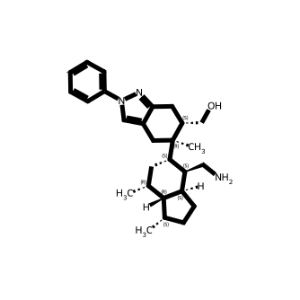 C[C@@H]1C[C@H]([C@@]2(C)Cc3cn(-c4cc[c]cc4)nc3C[C@@H]2CO)[C@@H](CN)[C@H]2CC[C@H](C)[C@@H]21